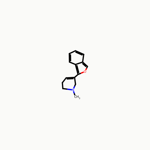 CN1CCC=C(c2occ3ccccc23)C1